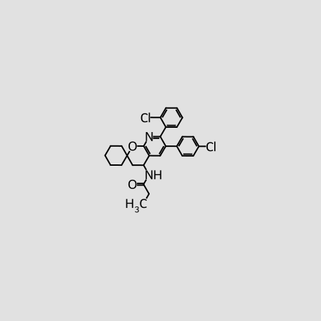 CCC(=O)NC1CC2(CCCCC2)Oc2nc(-c3ccccc3Cl)c(-c3ccc(Cl)cc3)cc21